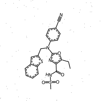 CCc1oc(N(Cc2cc3ccccc3s2)c2ccc(C#N)cc2)nc1C(=O)NS(C)(=O)=O